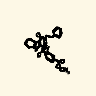 COC(=O)c1ccc(C(=O)Nc2sc3c(c2C(=O)NCCc2ccccc2)CCCC3)cc1